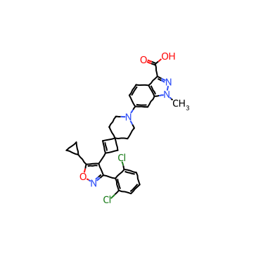 Cn1nc(C(=O)O)c2ccc(N3CCC4(C=C(c5c(-c6c(Cl)cccc6Cl)noc5C5CC5)C4)CC3)cc21